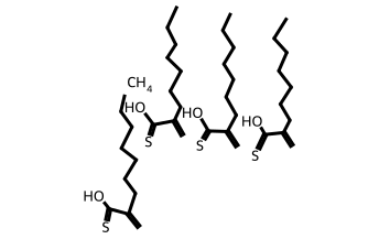 C.C=C(CCCCCCC)C(O)=S.C=C(CCCCCCC)C(O)=S.C=C(CCCCCCC)C(O)=S.C=C(CCCCCCC)C(O)=S